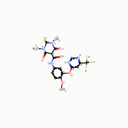 COc1ccc(NC(=O)C2C(=O)N(C)C(=S)N(C)C2=O)cc1Oc1cc(C(F)(F)F)ncn1